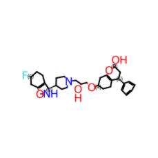 OC(CO[C@@H]1CCC2=C(C1)O[C@@H](O)C[C@H]2c1ccccc1)CN1CCC([C@H]2NOC3=C2CC[C@H](F)C3)CC1